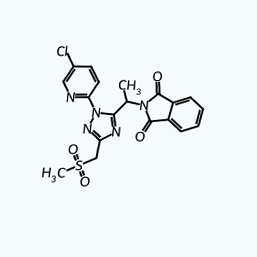 CC(c1nc(CS(C)(=O)=O)nn1-c1ccc(Cl)cn1)N1C(=O)c2ccccc2C1=O